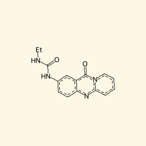 CCNC(=O)Nc1ccc2nc3ccccn3c(=O)c2c1